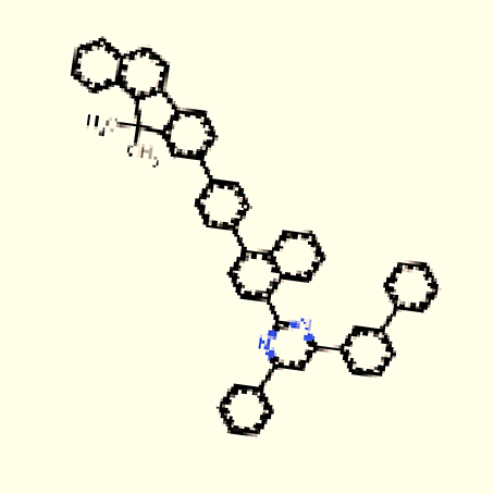 CC1(C)c2cc(-c3ccc(-c4ccc(-c5nc(-c6ccccc6)cc(-c6cccc(-c7ccccc7)c6)n5)c5ccccc45)cc3)ccc2-c2ccc3ccccc3c21